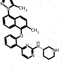 Cc1ccc2c(-n3nccc3C)cccc2c1Oc1ccccc1-c1ccnc(N[C@H]2CCCNC2)n1